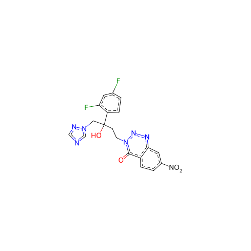 O=c1c2ccc([N+](=O)[O-])cc2nnn1CCC(O)(Cn1cncn1)c1ccc(F)cc1F